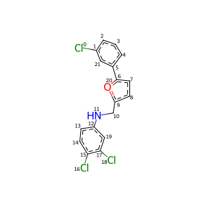 Clc1cccc(-c2ccc(CNc3ccc(Cl)c(Cl)c3)o2)c1